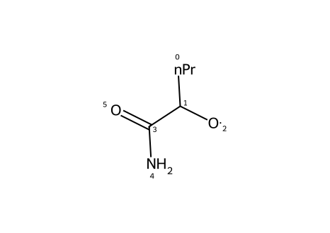 CCCC([O])C(N)=O